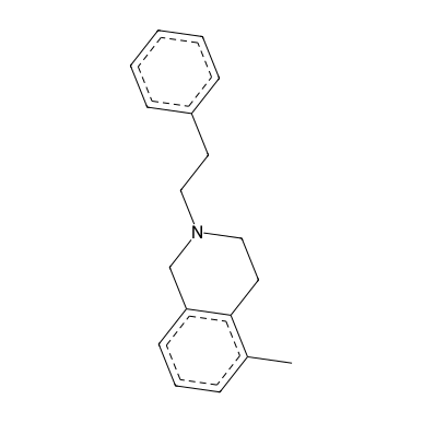 Cc1cccc2c1CCN(CCc1ccccc1)C2